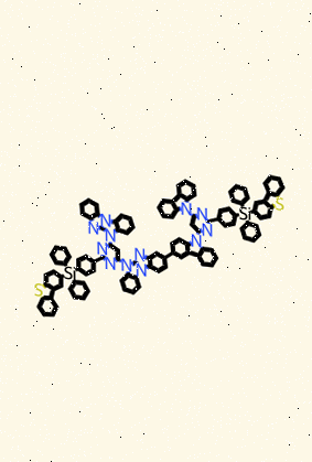 c1ccc([Si](c2ccccc2)(c2ccc(-c3nc(-n4c5ccccc5c5ccccc54)cc(-n4c5ccccc5c5cc(-c6ccc7c(c6)nc6n(-c8cc(-n9c%10ccccc%10n%10c%11ccccc%11nc9%10)nc(-c9ccc([Si](c%10ccccc%10)(c%10ccccc%10)c%10ccc%11sc%12ccccc%12c%11c%10)cc9)n8)c8ccccc8n76)ccc54)n3)cc2)c2ccc3sc4ccccc4c3c2)cc1